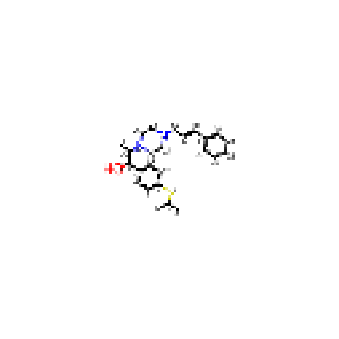 CC(C)Sc1ccc(C(O)C(C)N2CCN(C/C=C/c3ccccc3)CC2)cc1